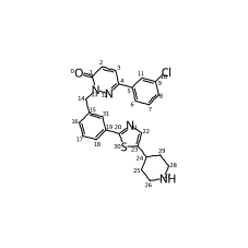 O=c1ccc(-c2cccc(Cl)c2)nn1Cc1cccc(-c2ncc(C3CCNCC3)s2)c1